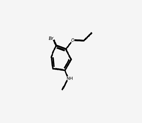 CCOc1cc(NC)ccc1Br